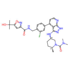 C[C@H]1CC[C@@H](Nc2n[nH]c3nccc(-c4ccc(CNC(=O)c5cc(C(C)(C)O)on5)c(F)c4)c23)CN1C(=O)N(C)C